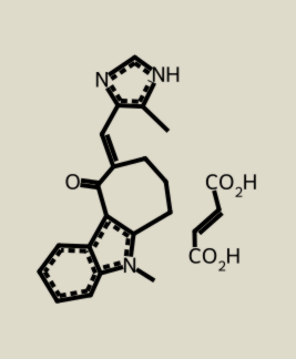 Cc1[nH]cnc1C=C1CCCc2c(c3ccccc3n2C)C1=O.O=C(O)C=CC(=O)O